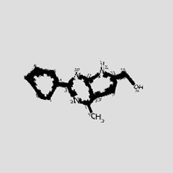 Cc1nc(-c2ccccc2)nc2[nH]c(CO)cc12